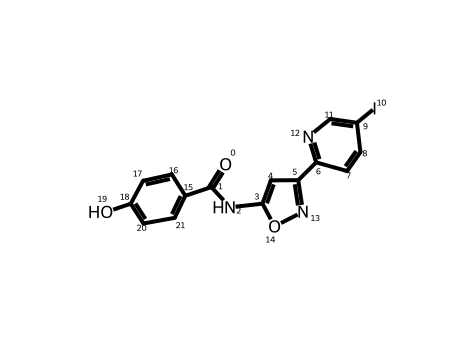 O=C(Nc1cc(-c2ccc(I)cn2)no1)c1ccc(O)cc1